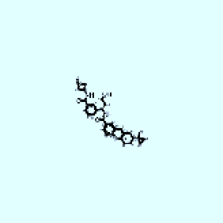 CN1CC(NC(=O)c2cccc([C@@H](CCO)NC(=O)c3ccc4nc5c(cc4c3)C[C@@H](C3(C)CC3)CC5)c2)C1